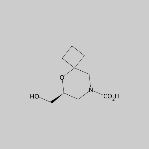 O=C(O)N1C[C@@H](CO)OC2(CCC2)C1